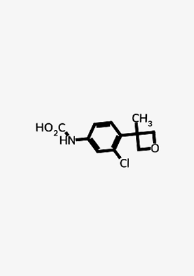 CC1(c2ccc(NC(=O)O)cc2Cl)COC1